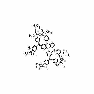 CCCCCC(C)c1ccc(N2c3cc(N(c4ccc(C(C)(C)C)cc4)c4ccc(C(C)(C)C)cc4)ccc3B3c4ccc(N(c5ccc(C(C)(C)C)cc5)c5ccc(C(C)(C)C)cc5)cc4N(c4ccc(C(C)(C)C)cc4)c4cccc2c43)cc1